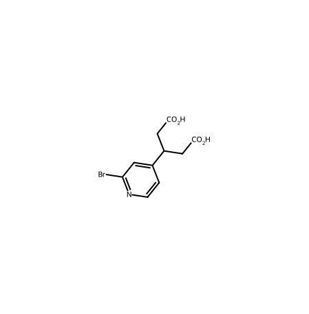 O=C(O)CC(CC(=O)O)c1ccnc(Br)c1